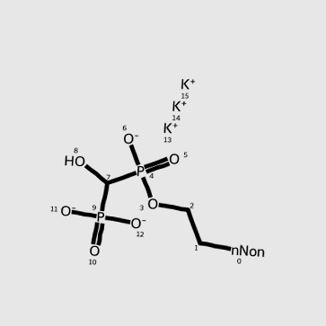 CCCCCCCCCCCOP(=O)([O-])C(O)P(=O)([O-])[O-].[K+].[K+].[K+]